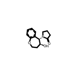 O=C1CCCN1[C@H]1c2ccccc2OCC[C@@H]1O